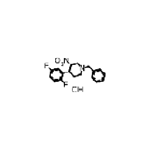 Cl.O=[N+]([O-])[C@@H]1CN(Cc2ccccc2)CC[C@H]1c1cc(F)ccc1F